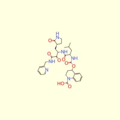 CC(C)CC(NC(=O)OC1CCN(C(=O)O)c2ccccc21)C(=O)NC(C[C@@H]1CCNC1=O)C(=O)C(=O)NCc1ccccn1